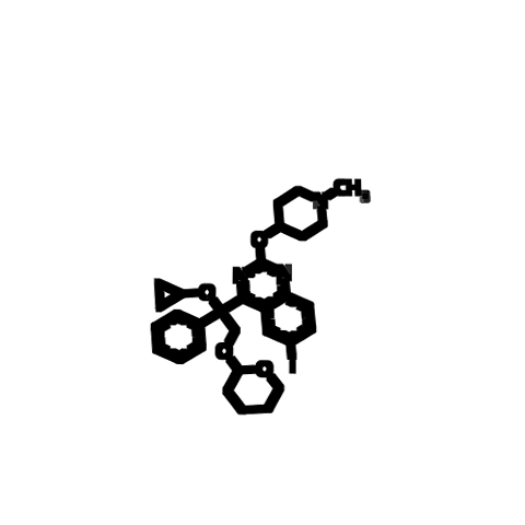 CN1CCC(Oc2nc(C(COC3CCCCO3)(OC3CC3)c3ccccc3)c3cc(I)ccc3n2)CC1